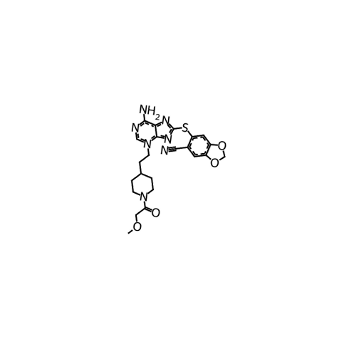 COCC(=O)N1CCC(CCn2cnc(N)c3nc(Sc4cc5c(cc4C#N)OCO5)nc2-3)CC1